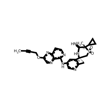 CC#CCOc1cnc2c(Nc3cnc4c(c3)[C@]3(C4)CS(=O)(=O)[C@@](C)(C4CC4)C(=N)N3)nccc2n1